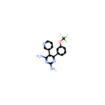 Nc1nc(N)c(-c2cccnc2)c(-c2cccc(OC(F)(F)F)c2)n1